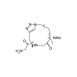 CN[C@@]1(C)CCCCn2cc(nn2)C[C@@](C)(C(=O)CN)NCC1=O